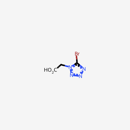 O=C(O)Cn1nnnc1Br